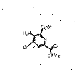 COC(=O)c1cc(Br)c(N)c(OC)n1